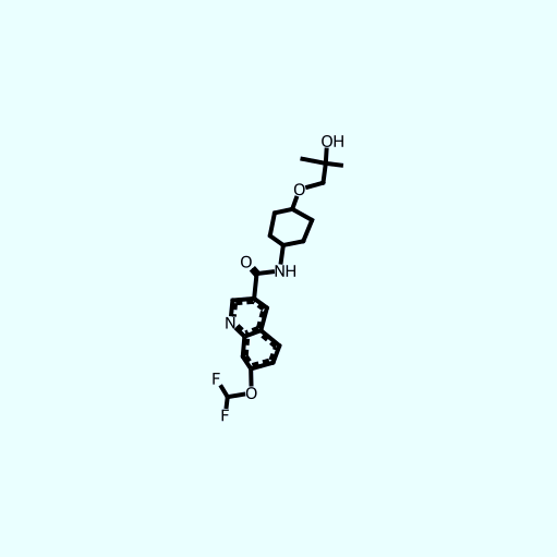 CC(C)(O)COC1CCC(NC(=O)c2cnc3cc(OC(F)F)ccc3c2)CC1